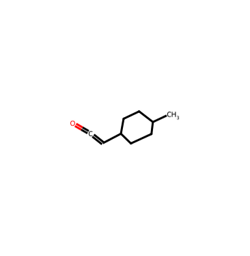 CC1CCC(C=C=O)CC1